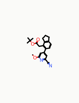 COc1cc(-c2ccc3c(c2CC(=O)OC(C)(C)C)CCC3)cc(C#N)n1